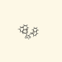 CC(C(=O)O[n+]1cccc2ccccc21)C(=O)O[n+]1cccc2ccccc21